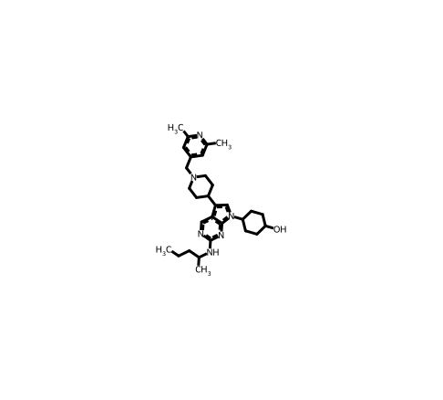 CCCC(C)Nc1ncc2c(C3CCN(Cc4cc(C)nc(C)c4)CC3)cn(C3CCC(O)CC3)c2n1